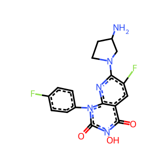 NC1CCN(c2nc3c(cc2F)c(=O)n(O)c(=O)n3-c2ccc(F)cc2)C1